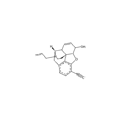 [C-]#[N+]c1ccc2c3c1OC1C(O)C=CC4[C@@H](C2)N(CC=C)CC[C@]314